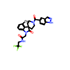 Cc1cccc2c1C1(CCN(C(=O)c3ccc4[nH]ncc4c3)CC1)C(=O)N2CC(=O)NCC(F)(F)F